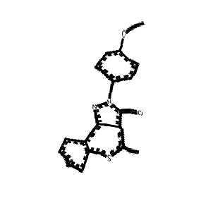 COc1ccc(-n2nc3c4ccccc4sc(C)c-3c2=O)cc1